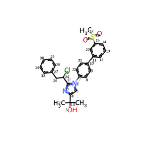 CC(C)(O)c1cn(-c2ccc(-c3cccc(S(C)(=O)=O)c3)cc2)c(C(Cl)Cc2ccccc2)n1